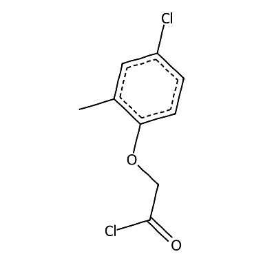 Cc1cc(Cl)ccc1OCC(=O)Cl